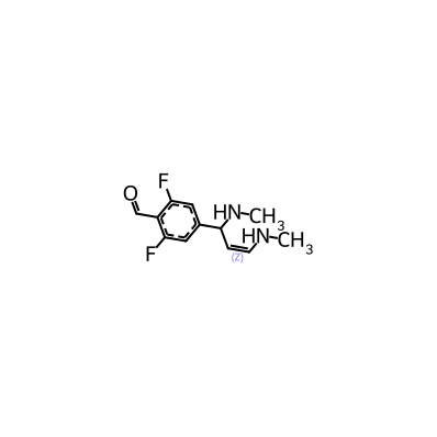 CN/C=C\C(NC)c1cc(F)c(C=O)c(F)c1